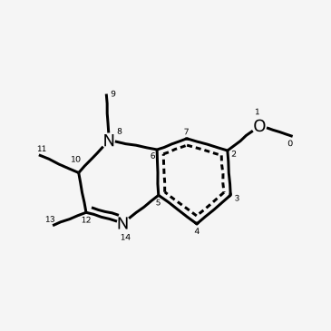 COc1ccc2c(c1)N(C)C(C)C(C)=N2